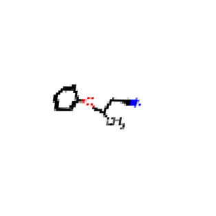 CC(CC#N)COc1ccccc1